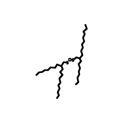 CCCCCCCCCCC(CCCCCCCC)CSOSCC(CCCCCCCC)CCCCCCCCCC